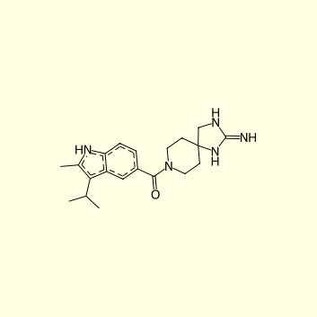 Cc1[nH]c2ccc(C(=O)N3CCC4(CC3)CNC(=N)N4)cc2c1C(C)C